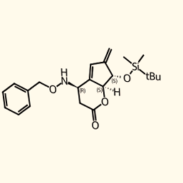 C=C1C=C2[C@H](NOCc3ccccc3)CC(=O)O[C@@H]2[C@H]1O[Si](C)(C)C(C)(C)C